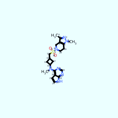 Cc1nn(C)c2c1CN(S(=O)(=O)CC1CC(N(C)c3ncnc4[nH]ccc34)C1)CC2